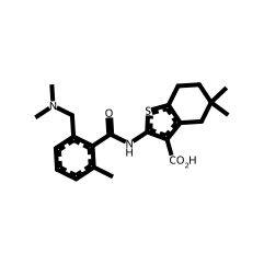 Cc1cccc(CN(C)C)c1C(=O)Nc1sc2c(c1C(=O)O)CC(C)(C)CC2